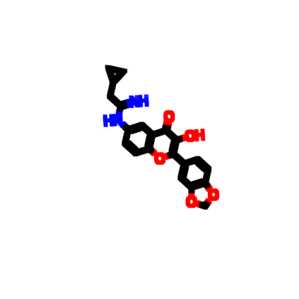 N=C(CC1CC1)Nc1ccc2oc(-c3ccc4c(c3)OCO4)c(O)c(=O)c2c1